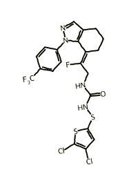 O=C(NC/C(F)=C1\CCCc2cnn(-c3ccc(C(F)(F)F)cc3)c21)NSc1cc(Cl)c(Cl)s1